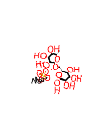 C[C@@H]1O[C@@H](OC[C@H]2O[C@@H](O)[C@H](O)[C@@H](O)[C@@H]2O)[C@H](O)[C@H](O)[C@H]1O.O=S(=O)([O-])[O-].[Na+].[Na+]